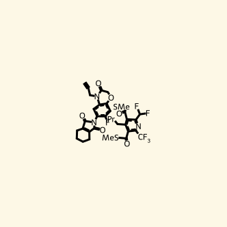 C#CCN1C(=O)COc2cc(F)c(N3C(=O)C4=C(CCCC4)C3=O)cc21.CSC(=O)c1c(C(F)F)nc(C(F)(F)F)c(C(=O)SC)c1CC(C)C